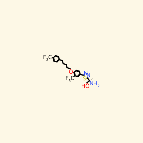 C[C@](N)(CO)c1nnc(-c2ccc(OCCCCCc3ccc(C(F)(F)F)cc3)c(C(F)(F)F)c2)s1